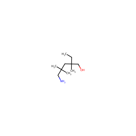 CCC(C)(CO)CC(C)(C)CN